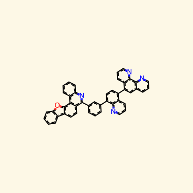 c1cc(-c2nc3ccccc3c3c2ccc2c4ccccc4oc23)cc(-c2ccc(-c3cc4cccnc4c4ncccc34)c3cccnc23)c1